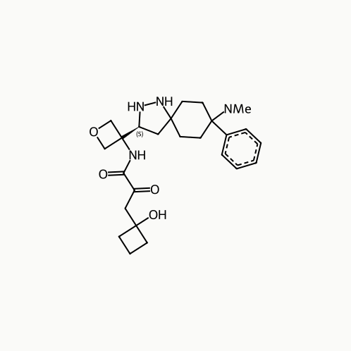 CNC1(c2ccccc2)CCC2(CC1)C[C@@H](C1(NC(=O)C(=O)CC3(O)CCC3)COC1)NN2